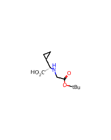 CC(C)(C)OC(=O)CN[C@H](C(=O)O)C1CC1